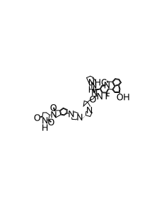 C#Cc1cccc2cc(O)cc(-c3ncc4c(N5CC6CCC(C5)N6)nc(OCC5(CN6CC[C@H](CN7CCN(c8ccc9c(c8)CN([C@H]8CCC(=O)NC8=O)C9=O)CC7)C6)CC5)nc4c3F)c12